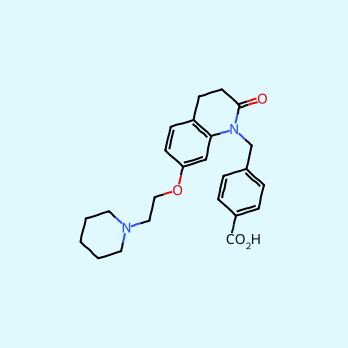 O=C(O)c1ccc(CN2C(=O)CCc3ccc(OCCN4CCCCC4)cc32)cc1